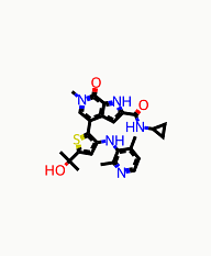 Cc1ccnc(C)c1Nc1cc(C(C)(C)O)sc1-c1cn(C)c(=O)c2[nH]c(C(=O)NC3CC3)cc12